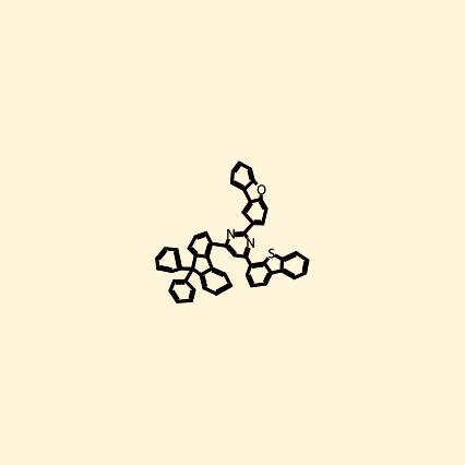 c1ccc(C2(c3ccccc3)c3ccccc3-c3c(-c4cc(-c5cccc6c5sc5ccccc56)nc(-c5ccc6oc7ccccc7c6c5)n4)cccc32)cc1